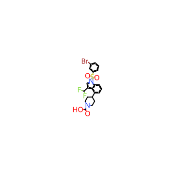 O=C(O)N1CCC(c2cccc3c2c(C(F)F)cn3S(=O)(=O)c2cccc(Br)c2)CC1